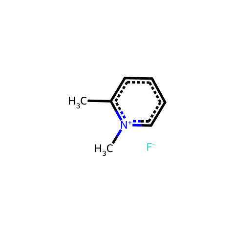 Cc1cccc[n+]1C.[F-]